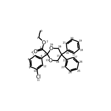 CCOC(=O)C1(c2cccc(Cl)c2)OCC(c2ccccc2)(c2ccccc2)CO1